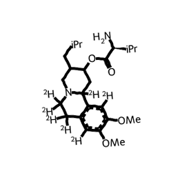 [2H]c1c(OC)c(OC)c([2H])c2c1C1([2H])CC(OC(=O)[C@@H](N)C(C)C)C(CC(C)C)CN1C([2H])([2H])C2([2H])[2H]